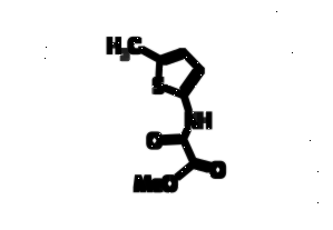 COC(=O)C(=O)Nc1ccc(C)s1